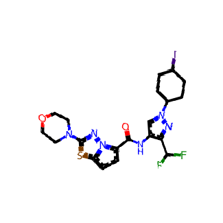 O=C(Nc1cn(C2CCC(I)CC2)nc1C(F)F)c1ccc2sc(N3CCOCC3)nn12